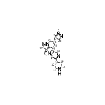 Cn1cc(-c2cc(-c3ccc(C4CCNCC4)nc3)c3c(C#N)cnn3c2)cn1